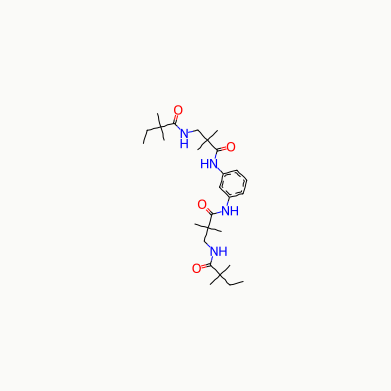 CCC(C)(C)C(=O)NCC(C)(C)C(=O)Nc1cccc(NC(=O)C(C)(C)CNC(=O)C(C)(C)CC)c1